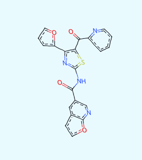 O=C(Nc1nc(-c2ccco2)c(C(=O)c2ccccn2)s1)c1cnc2occc2c1